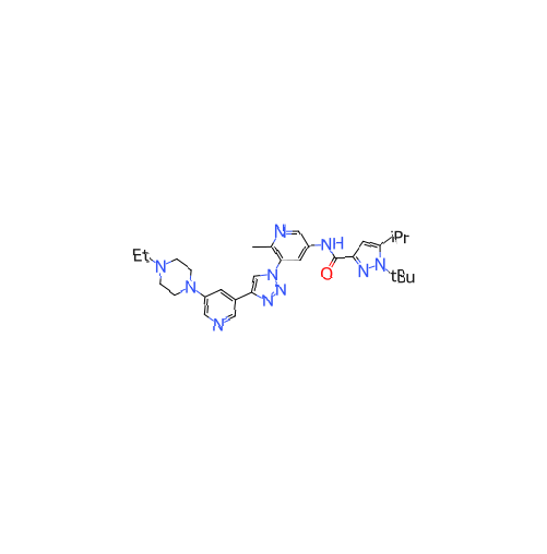 CCN1CCN(c2cncc(-c3cn(-c4cc(NC(=O)c5cc(C(C)C)n(C(C)(C)C)n5)cnc4C)nn3)c2)CC1